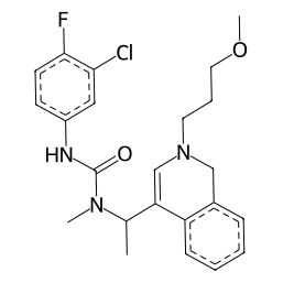 COCCCN1C=C(C(C)N(C)C(=O)Nc2ccc(F)c(Cl)c2)c2ccccc2C1